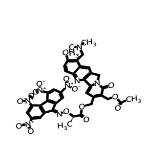 CC(=O)OCc1c(COC(=O)[C@H](C)ON=C2c3cc([N+](=O)[O-])cc([N+](=O)[O-])c3-c3c2cc([N+](=O)[O-])cc3[N+](=O)[O-])cc2n(c1=O)Cc1cc3c(CN(C)C)c(O)ccc3nc1-2